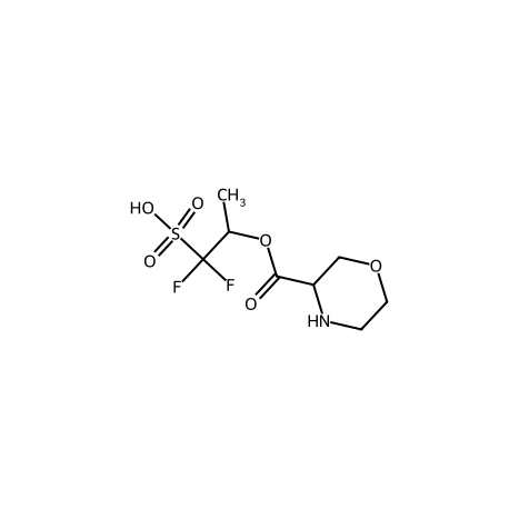 CC(OC(=O)C1COCCN1)C(F)(F)S(=O)(=O)O